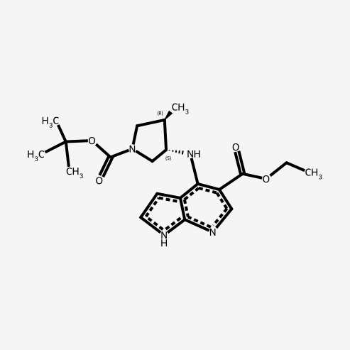 CCOC(=O)c1cnc2[nH]ccc2c1N[C@@H]1CN(C(=O)OC(C)(C)C)C[C@H]1C